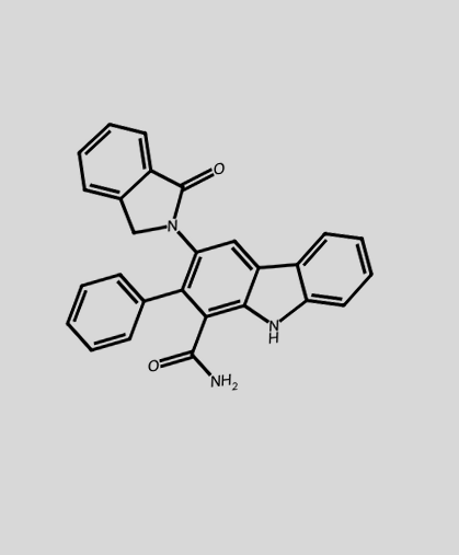 NC(=O)c1c(-c2ccccc2)c(N2Cc3ccccc3C2=O)cc2c1[nH]c1ccccc12